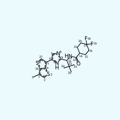 Cc1csc2c(-c3cnc([C@@H](NC(=O)C4CCC(F)(F)CC4)C(C)(C)C)[nH]3)csc12